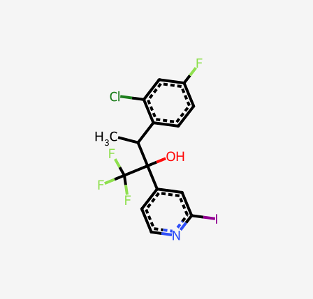 CC(c1ccc(F)cc1Cl)C(O)(c1ccnc(I)c1)C(F)(F)F